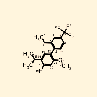 CCc1cc(C(F)(F)F)ccc1-c1cc(C(C)C)c(F)cc1OC